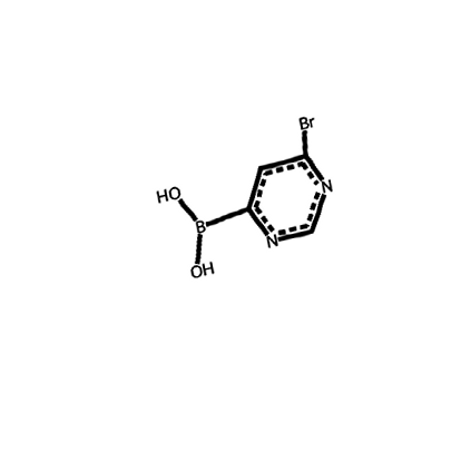 OB(O)c1cc(Br)ncn1